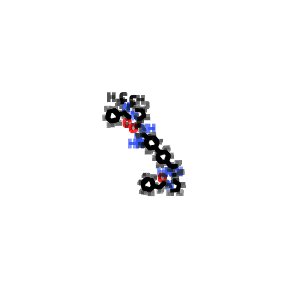 CCN(CC)[C@@H](C(=O)N1CCC[C@H]1C(=O)Nc1n[nH]c2cc(-c3ccc(-c4cnc([C@@H]5CCCN5C(=O)Cc5ccccc5)[nH]4)cc3)ccc12)c1ccccc1